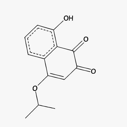 CC(C)OC1=CC(=O)C(=O)c2c(O)cccc21